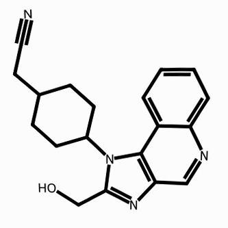 N#CCC1CCC(n2c(CO)nc3cnc4ccccc4c32)CC1